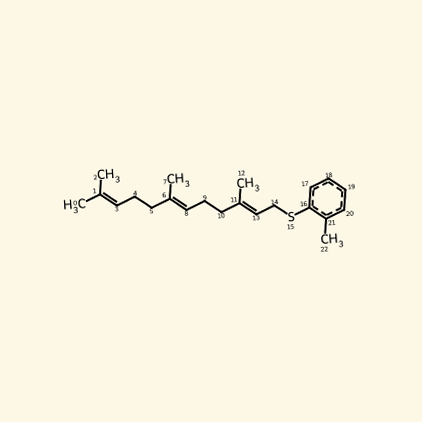 CC(C)=CCC/C(C)=C/CC/C(C)=C/CSc1ccccc1C